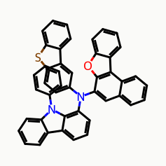 c1ccc(-n2c3ccccc3c3cccc(N(c4ccc5sc6ccccc6c5c4)c4cc5ccccc5c5c4oc4ccccc45)c32)cc1